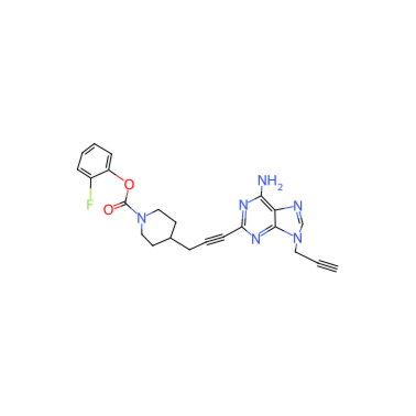 C#CCn1cnc2c(N)nc(C#CCC3CCN(C(=O)Oc4ccccc4F)CC3)nc21